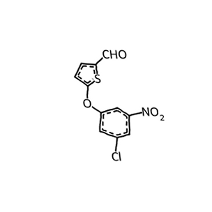 O=Cc1ccc(Oc2cc(Cl)cc([N+](=O)[O-])c2)s1